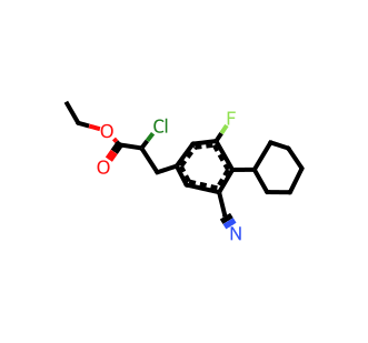 CCOC(=O)C(Cl)Cc1cc(F)c(C2CCCCC2)c(C#N)c1